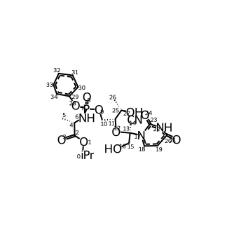 CC(C)OC(=O)[C@H](C)NP(=O)(OC[C@@H](O[C@](C#N)(CO)n1ccc(=O)[nH]c1=O)[C@H](C)O)Oc1ccccc1